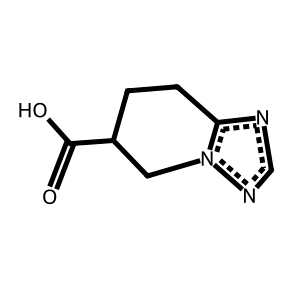 O=C(O)C1CCc2ncnn2C1